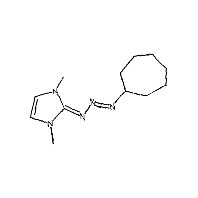 Cn1ccn(C)c1=N/N=N/C1CCCCCC1